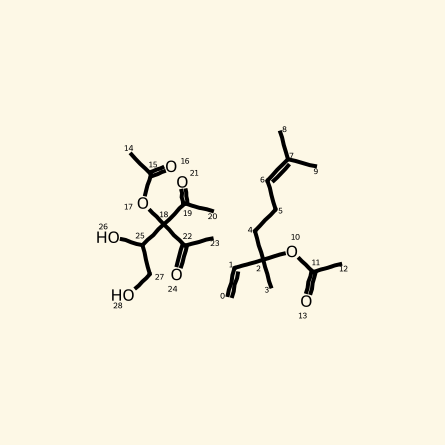 C=CC(C)(CCC=C(C)C)OC(C)=O.CC(=O)OC(C(C)=O)(C(C)=O)C(O)CO